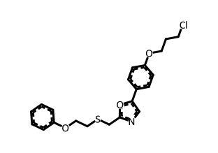 ClCCCOc1ccc(-c2cnc(CSCCOc3ccccc3)o2)cc1